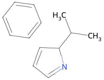 CC(C)C1C=CC=N1.c1ccccc1